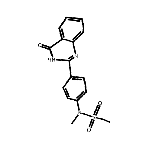 CN(c1ccc(-c2nc3ccccc3c(=O)[nH]2)cc1)S(C)(=O)=O